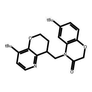 CC(C)(C)c1ccc2c(c1)N(CC1CCOc3c(C(C)(C)C)ccnc31)C(=O)CO2